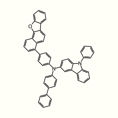 c1ccc(-c2ccc(N(c3ccc(-c4cccc5c4ccc4c6ccccc6oc54)cc3)c3ccc4c(c3)c3ccccc3n4-c3ccccc3)cc2)cc1